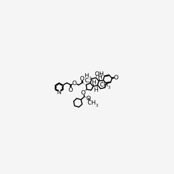 CO[C@@H](O[C@@H]1C[C@H]2[C@@H]3CCC4=CC(=O)C=C[C@]4(C)[C@H]3[C@@H](O)C[C@]2(C)[C@H]1C(=O)COC(=O)Cc1cccnc1)C1CCCCC1